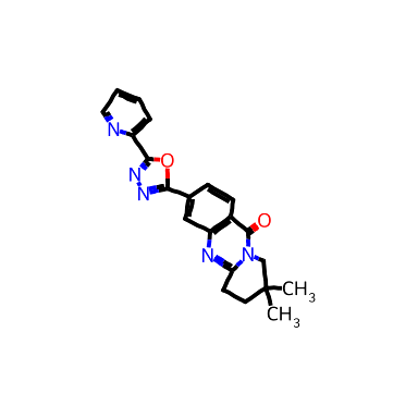 CC1(C)CCc2nc3cc(-c4nnc(-c5ccccn5)o4)ccc3c(=O)n2C1